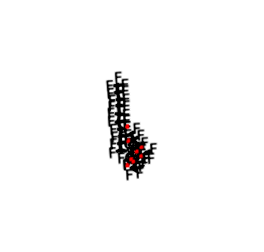 FC(F)(F)C(F)(F)C(F)(F)C(F)(F)C(F)(F)C(F)(F)C(F)(F)C(F)(F)C(F)(F)C(F)(F)[Si](OC(F)(C(F)(F)F)C(F)(F)F)(OC(F)(C(F)(F)F)C(F)(F)F)OC(F)(C(F)(F)F)C(F)(F)F